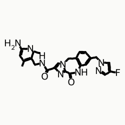 Cc1cc(N)nc(C)c1CNC(=O)c1cn2c(n1)C(=O)Nc1cc(Cn3cc(F)cn3)ccc1C2